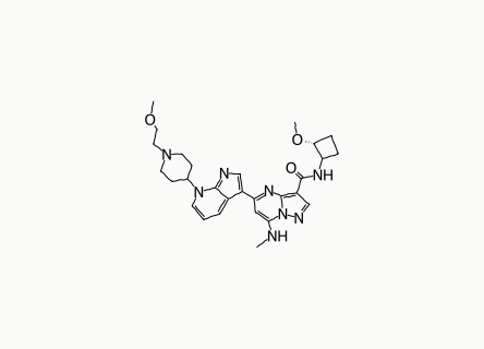 CNc1cc(-c2cnc3n(C4CCN(CCOC)CC4)cccc2-3)nc2c(C(=O)NC3CC[C@H]3OC)cnn12